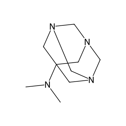 CN(C)C12CN3CN(CN(C3)C1)C2